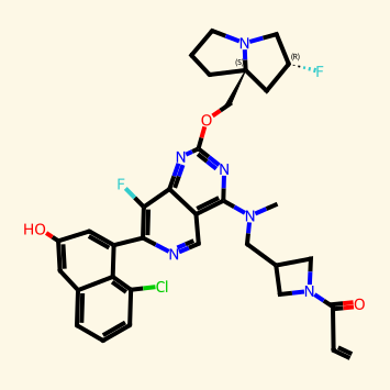 C=CC(=O)N1CC(CN(C)c2nc(OC[C@@]34CCCN3C[C@H](F)C4)nc3c(F)c(-c4cc(O)cc5cccc(Cl)c45)ncc23)C1